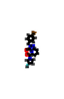 O=C([C@@H]1CCCc2nn(Cc3ccc(Br)cc3)c(=O)n21)N1CC[C@H](F)C1